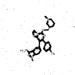 CN1CCC[C@@H](COc2nc(-c3ccc(C#N)cc3)c(-c3ccc4c(c3)c(N)nn4C)c3nccn23)C1